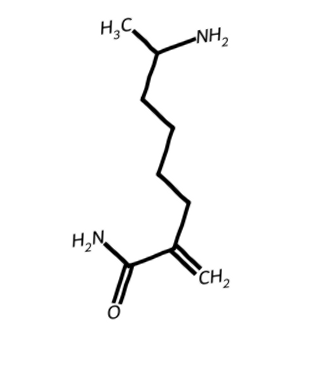 C=C(CCCCC(C)N)C(N)=O